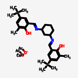 CC(=O)[O-].CC(=O)[O-].Cc1cc([Si](C)(C)C)cc(C=NC2CCCC(N=Cc3cc([Si](C)(C)C)cc(C)c3O)C2)c1O.[Co+2]